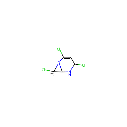 C[C@@]1(Cl)C2NC(Cl)C=C(Cl)N21